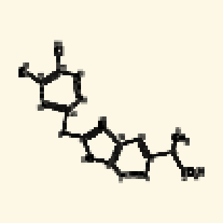 CC(C(=O)O)c1ccc2oc(Cc3ccc(Cl)c(Cl)c3)nc2c1